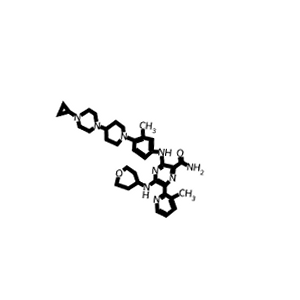 Cc1cc(Nc2nc(NC3CCOCC3)c(-c3ncccc3C)nc2C(N)=O)ccc1N1CCC(N2CCN(C3CC3)CC2)CC1